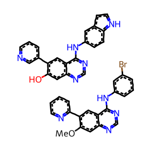 COc1cc2ncnc(Nc3cccc(Br)c3)c2cc1-c1ccccn1.Oc1cc2ncnc(Nc3ccc4[nH]ccc4c3)c2cc1-c1cccnc1